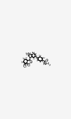 NC(=O)c1ccc(-c2cnc3c(c2)C(C(=O)c2cccc(Cl)c2Cl)CN3)cc1